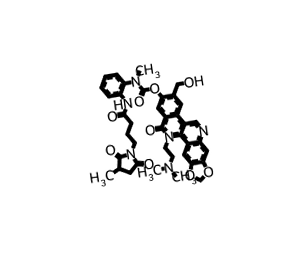 CC1CC(=O)N(CCCC(=O)Nc2ccccc2N(C)C(=O)Oc2cc3c(=O)n(CCN(C)C)c4c5cc6c(cc5ncc4c3cc2CO)OCO6)C1=O